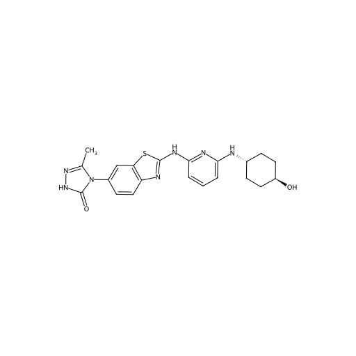 Cc1n[nH]c(=O)n1-c1ccc2nc(Nc3cccc(N[C@H]4CC[C@H](O)CC4)n3)sc2c1